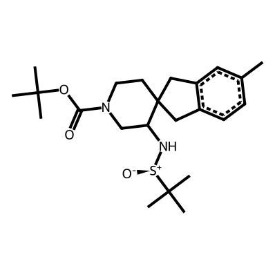 Cc1ccc2c(c1)CC1(CCN(C(=O)OC(C)(C)C)CC1N[S@+]([O-])C(C)(C)C)C2